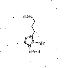 CCCCCCCCCCCCCn1cc[n+](CCCCC)c1CCC